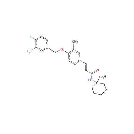 COc1cc(C=CC(=O)NC2(C(=O)O)CCCCC2)ccc1OCc1ccc(F)c(C(F)(F)F)c1